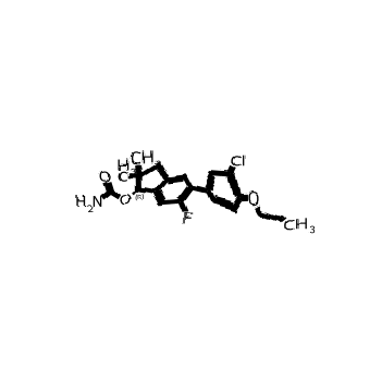 CCCOc1ccc(-c2cc3c(cc2F)[C@H](OC(N)=O)C(C)(C)C3)cc1Cl